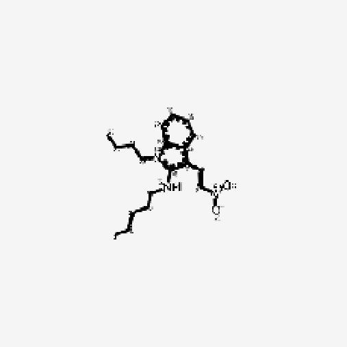 CCCCCNc1c(C=C[N+](=O)[O-])c2ccccc2n1CCCC